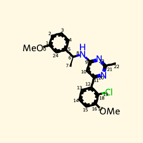 COc1cccc([C@H](C)Nc2cc(-c3cccc(OC)c3Cl)nc(C)n2)c1